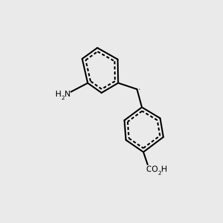 Nc1cccc([CH]c2ccc(C(=O)O)cc2)c1